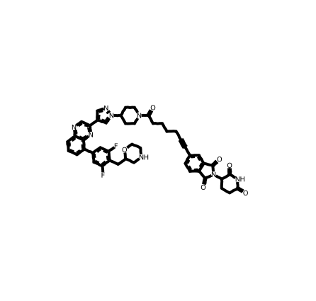 O=C1CCC(N2C(=O)c3ccc(C#CCCCCC(=O)N4CCC(n5cc(-c6cnc7cccc(-c8cc(F)c(CC9CNCCO9)c(F)c8)c7n6)cn5)CC4)cc3C2=O)C(=O)N1